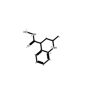 CC1CC(C(=O)NO)c2ccccc2N1